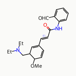 CCN(CC)CC1C=C(/C=C/C(=O)Nc2ccccc2C=O)C=CC1OC